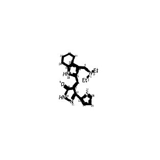 CCN(CC)Cc1c(C=C2C(=O)NN=C2c2cccs2)[nH]c2c1CCCC2